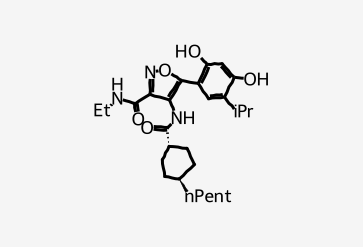 CCCCC[C@H]1CC[C@H](C(=O)Nc2c(C(=O)NCC)noc2-c2cc(C(C)C)c(O)cc2O)CC1